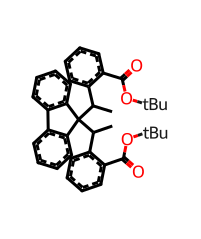 CC(c1ccccc1C(=O)OC(C)(C)C)C1(C(C)c2ccccc2C(=O)OC(C)(C)C)c2ccccc2-c2ccccc21